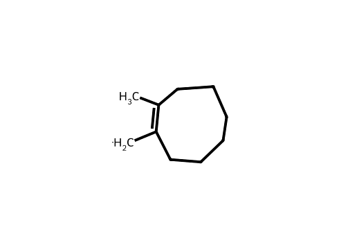 [CH2]C1=C(C)CCCCCC1